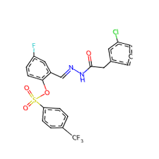 O=C(Cc1cccc(Cl)c1)NN=Cc1cc(F)ccc1OS(=O)(=O)c1ccc(C(F)(F)F)cc1